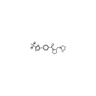 C[C@H]1CCCN1CC1CCCN1C(=O)c1ccc(-c2csc(S(C)(=O)=O)n2)cc1